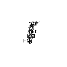 CC[C@H]1CN(c2ncc(-c3ncc[nH]3)cc2Cl)CCN1C1CCN(C(=O)c2ccc(Br)cc2)CC1